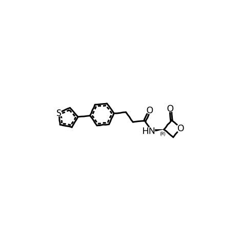 O=C(CCc1ccc(-c2ccsc2)cc1)N[C@@H]1COC1=O